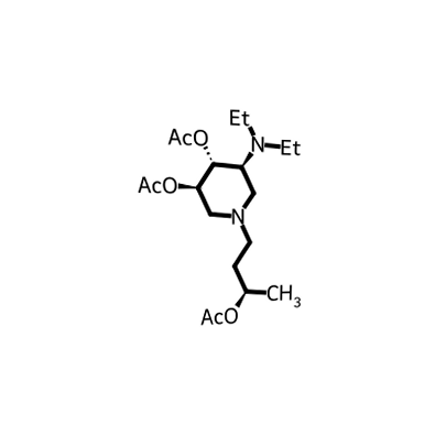 CCN(CC)[C@H]1CN(CC[C@@H](C)OC(C)=O)C[C@@H](OC(C)=O)[C@@H]1OC(C)=O